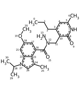 CCCc1cc(C)[nH]c(=O)c1CN(N)C(=O)c1cc(OC)cc2c1c(C)cn2C(C)C